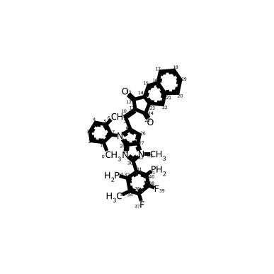 Cc1cccc(C)c1-n1c(C=C2C(=O)c3cc4ccccc4cc3C2=O)cc2c1nc(-c1c(P)c(C)c(F)c(F)c1P)n2C